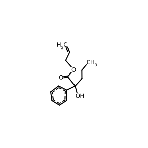 C=CCOC(=O)C(O)(CCC)c1ccccc1